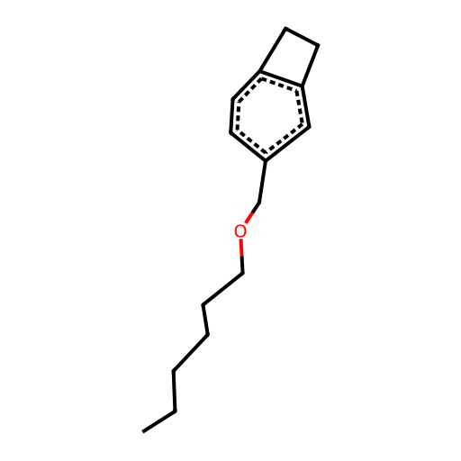 CCCCCCOCc1ccc2c(c1)CC2